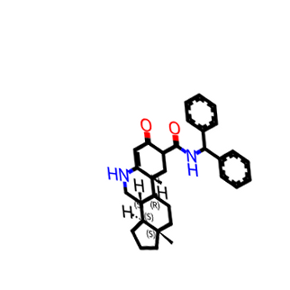 C[C@@]12CCC[C@H]1[C@@H]1CNC3=CC(=O)C(C(=O)NC(c4ccccc4)c4ccccc4)C[C@]3(C)[C@@H]1CC2